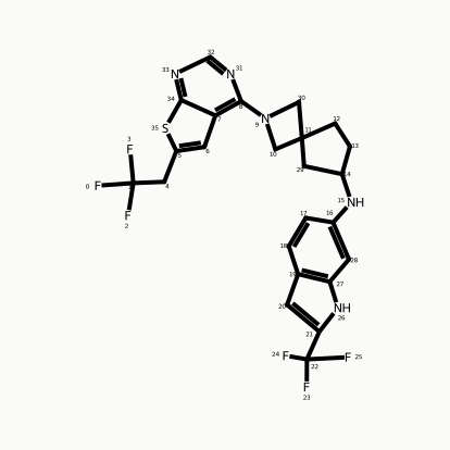 FC(F)(F)Cc1cc2c(N3CC4(CCC(Nc5ccc6cc(C(F)(F)F)[nH]c6c5)C4)C3)ncnc2s1